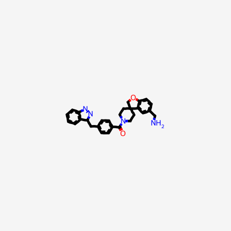 NCc1ccc2c(c1)C1(CCN(C(=O)c3ccc(CC4N=Nc5ccccc54)cc3)CC1)CO2